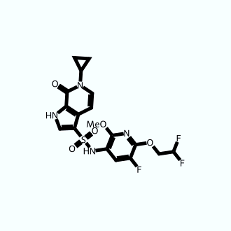 COc1nc(OCC(F)F)c(F)cc1NS(=O)(=O)c1c[nH]c2c(=O)n(C3CC3)ccc12